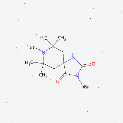 CCCCN1C(=O)NC2(CC(C)(C)N(CC)C(C)(C)C2)C1=O